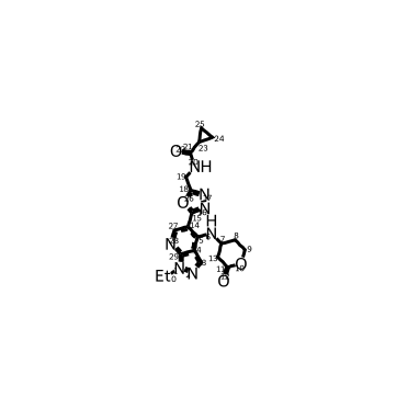 CCn1ncc2c(NC3CCOC(=O)C3)c(-c3nnc(CNC(=O)C4CC4)o3)cnc21